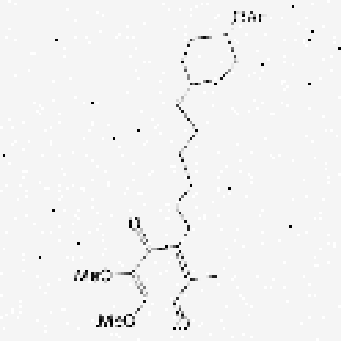 COC1=C(OC)C(=O)C(CCCCCC[C@H]2CC[C@@H](OC(C)=O)CC2)=C(C)C1=O